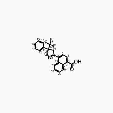 O=C(O)c1ccc(C2=NOC(c3ccccc3)(C(F)(F)F)C2)c2ccccc12